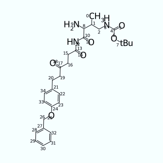 CC(CNC(=O)OC(C)(C)C)C(N)C(=O)NC(=O)CCC(=O)CCc1ccc(OCc2ccccc2)cc1